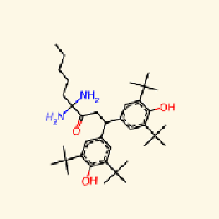 CCCCCC(N)(N)C(=O)CC(c1cc(C(C)(C)C)c(O)c(C(C)(C)C)c1)c1cc(C(C)(C)C)c(O)c(C(C)(C)C)c1